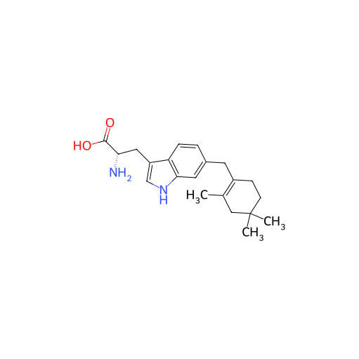 CC1=C(Cc2ccc3c(C[C@H](N)C(=O)O)c[nH]c3c2)CCC(C)(C)C1